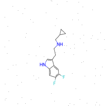 Fc1cc2[nH]cc(CCNCC3CC3)c2cc1F